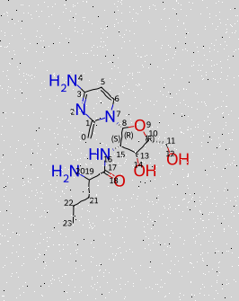 C=C1N=C(N)C=CN1[C@@H]1O[C@H](CO)C(O)[C@@H]1NC(=O)C(N)CCC